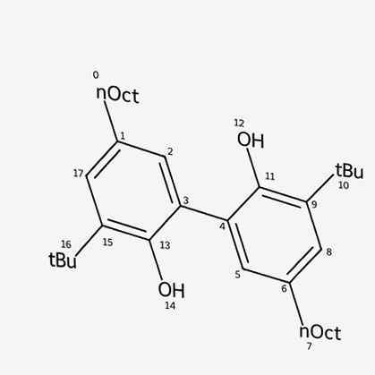 CCCCCCCCc1cc(-c2cc(CCCCCCCC)cc(C(C)(C)C)c2O)c(O)c(C(C)(C)C)c1